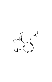 COCc1cccc(Cl)c1[N+](=O)[O-]